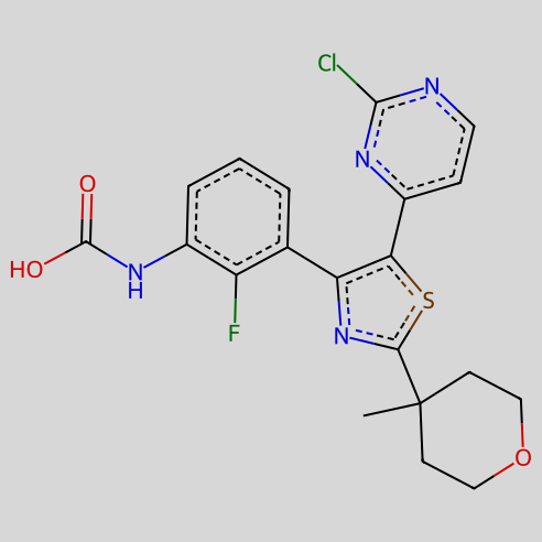 CC1(c2nc(-c3cccc(NC(=O)O)c3F)c(-c3ccnc(Cl)n3)s2)CCOCC1